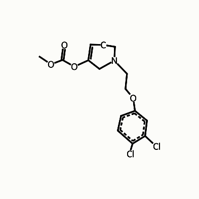 COC(=O)OC1=CCCN(CCOc2ccc(Cl)c(Cl)c2)C1